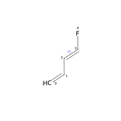 [CH]=C/C=C/F